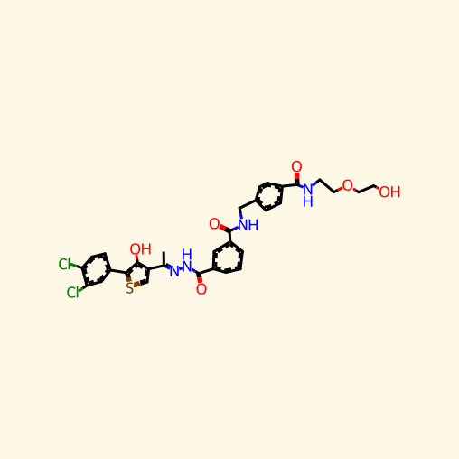 C/C(=N\NC(=O)c1cccc(C(=O)NCc2ccc(C(=O)NCCOCCO)cc2)c1)c1csc(-c2ccc(Cl)c(Cl)c2)c1O